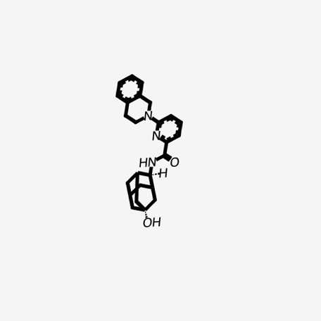 O=C(N[C@H]1C2CC3CC1C[C@](O)(C3)C2)c1cccc(N2CCc3ccccc3C2)n1